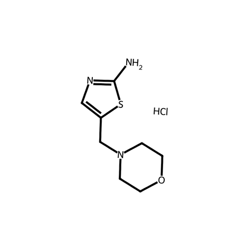 Cl.Nc1ncc(CN2CCOCC2)s1